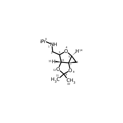 CC(C)NCC1O[C@H]2C[C@]23OC(C)(C)O[C@H]13